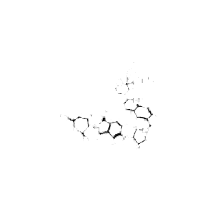 CC1(C)C[C@@H](c2ccc3cc(CN4CC[C@H](Oc5ccc6c(c5)CN([C@H]5CCC(=O)NC5=O)C6=O)C4)ccc3n2)CCO1